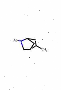 CC(=O)N1CC2CC1CC2C